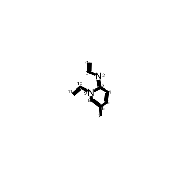 C=C/N=c1/ccc(C)cn1C=C